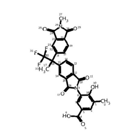 Cc1cc(C(=O)O)cc(N2C(=O)c3ccc(C(C)(c4ccc5c(c4)C(=O)N(C)C5=O)C(F)(F)F)cc3C2=O)c1O